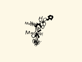 CNC(=O)CC(NC(=O)OCc1ccccc1)C(=O)NCC(=O)NC1(OC)CN(S(=O)(=O)[O-])C1=O.[Na+]